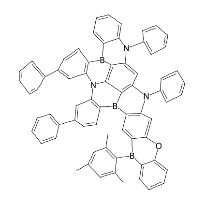 Cc1cc(C)c(B2c3ccccc3Oc3cc4c(cc32)B2c3ccc(-c5ccccc5)cc3N3c5cc(-c6ccccc6)ccc5B5c6ccccc6N(c6ccccc6)c6cc(c2c3c65)N4c2ccccc2)c(C)c1